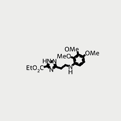 CCOC(=O)c1nc(CCNc2ccc(OC)c(OC)c2OC)n[nH]1